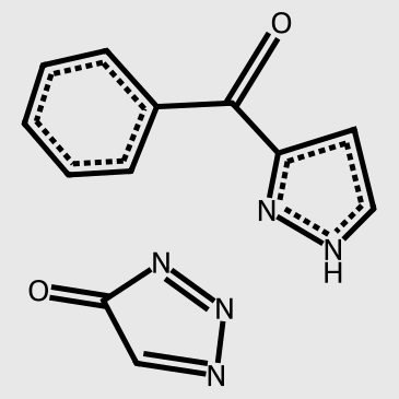 O=C(c1ccccc1)c1cc[nH]n1.O=C1C=NN=N1